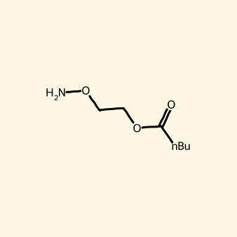 CCCCC(=O)OCCON